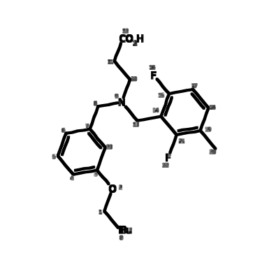 CCC(C)COc1cccc(CN(CCC(=O)O)Cc2c(F)ccc(C)c2F)c1